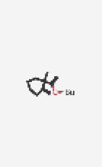 C=C1CCCCC1(C)C(=C)OCCCC